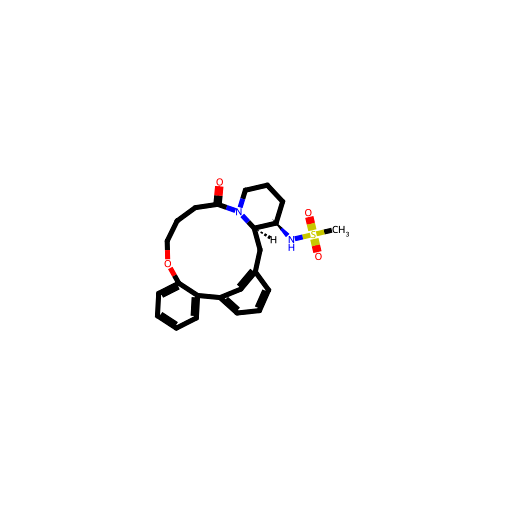 CS(=O)(=O)N[C@@H]1CCCN2C(=O)CCCOc3ccccc3-c3cccc(c3)C[C@H]12